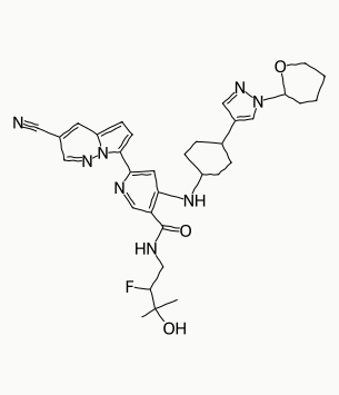 CC(C)(O)C(F)CNC(=O)c1cnc(-c2ccc3cc(C#N)cnn23)cc1NC1CCC(c2cnn(C3CCCCO3)c2)CC1